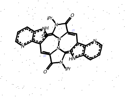 CC(C)N1C(=O)/C(=C/c2c[nH]c3cccnc23)N(N2C(=S)N(C(C)C)C(=O)/C2=C/c2c[nH]c3cccnc23)C1=S